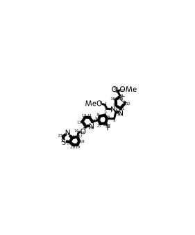 COCCn1c(Cc2ccc(-c3cccc(OCc4cccc5scnc45)n3)cc2F)nc2ccc(C(=O)OC)cc21